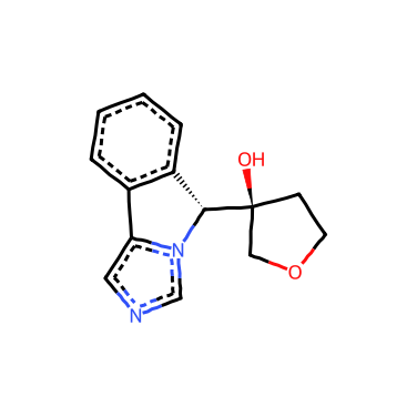 O[C@@]1([C@H]2c3ccccc3-c3cncn32)CCOC1